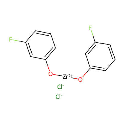 Fc1cccc([O][Zr+2][O]c2cccc(F)c2)c1.[Cl-].[Cl-]